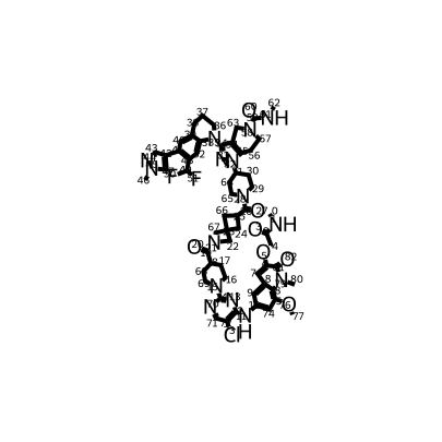 CNC(=O)COc1cc2cc(Nc3nc(N4CCC(C(=O)N5CC6(CC(C(=O)N7CCC(n8nc(N9CCCc%10cc(-c%11cnn(C)c%11)c(C(F)F)cc%109)c9c8CCN(C(=O)NC)C9)CC7)C6)C5)CC4)ncc3Cl)cc(OC)c2n(C)c1=O